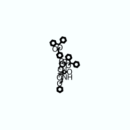 O=C(COc1ccccc1)NC1C(=O)N2C(C(=O)OC(c3ccccc3)c3ccccc3)=C(COc3ccc(C(=O)OC(c4ccccc4)c4ccccc4)cc3)CS[C@@H]12